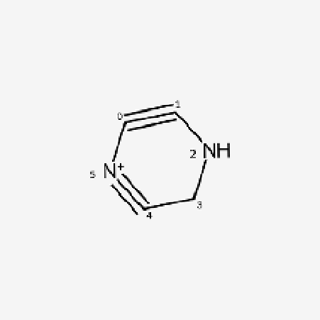 C1#CNCC#[N+]1